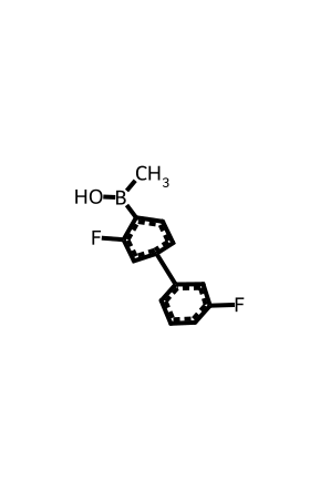 CB(O)c1ccc(-c2cccc(F)c2)cc1F